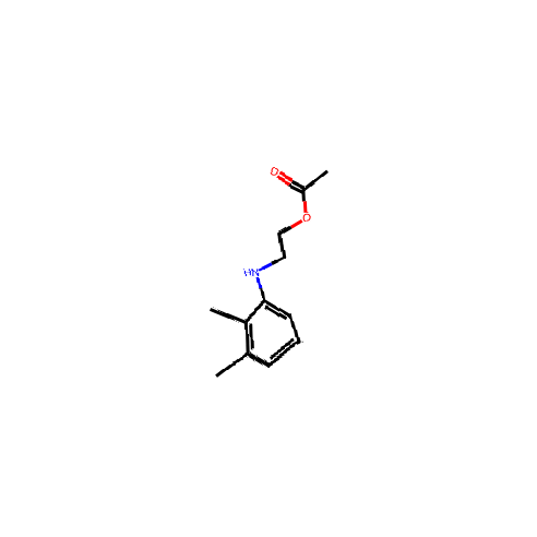 CC(=O)OCCNc1c[c]cc(C)c1C